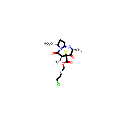 C[C@H](N)C(=O)C(S)(C(=O)OCCCCCl)[C@@H](C)C(=O)N1CCC[C@H]1C(=O)O